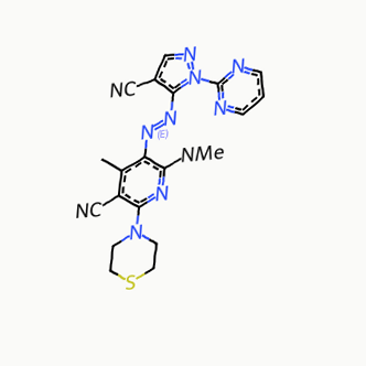 CNc1nc(N2CCSCC2)c(C#N)c(C)c1/N=N/c1c(C#N)cnn1-c1ncccn1